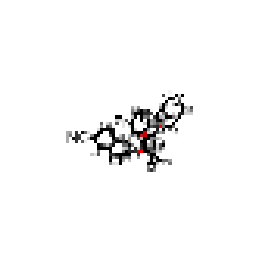 CC(C)Oc1c(Nc2c(F)cc(C#N)cc2Cl)ncnc1OC1C2COCC1CN(C(=O)OC1(C)CC1)C2